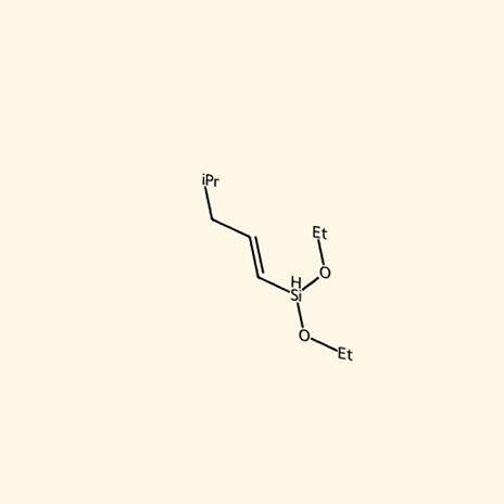 CCO[SiH](C=CCC(C)C)OCC